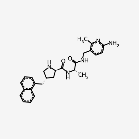 Cc1nc(N)ccc1CNC(=O)[C@H](C)NC(=O)[C@H]1C[C@H](Cc2cccc3ccccc23)CN1